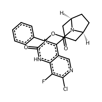 O=C(OCc1ccccc1)N1[C@@H]2CC[C@H]1CC(c1nc(=O)[nH]c3c(F)c(Cl)ncc13)C2